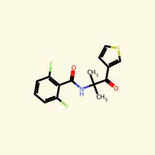 CC(C)(NC(=O)c1c(F)cccc1F)C(=O)c1ccsc1